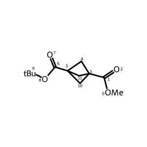 COC(=O)C12CC(C(=O)OC(C)(C)C)(C1)C2